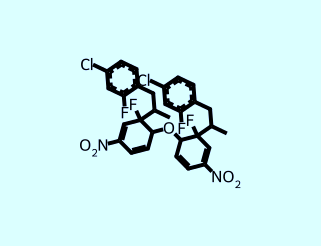 CC(Cc1ccc(Cl)cc1F)C1(F)C=C([N+](=O)[O-])C=CC1OC1C=CC([N+](=O)[O-])=CC1(F)C(C)Cc1ccc(Cl)cc1F